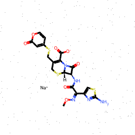 CO/N=C(\C(=O)N[C@@H]1C(=O)N2C(C(=O)[O-])=C(CSc3ccoc(=O)c3)CS[C@@H]12)c1csc(N)n1.[Na+]